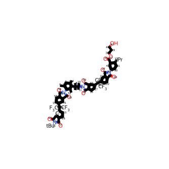 Cc1cc(C)c(C(C)(C)C(C)(C)N2C(=O)c3ccc(C(c4ccc5c(c4)C(=O)N(c4ccc(C(C)C)c(C(=O)OCCCO)c4)C5=O)(C(F)(F)F)C(F)(F)F)cc3C2=O)c(C)c1N1C(=O)c2ccc(C(c3ccc4c(c3)C(=O)N(C(C)(C)C)C4=O)(C(F)(F)F)C(F)(F)F)cc2C1=O